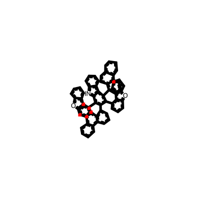 c1ccc2c(c1)ccc1c(-c3c(-c4cccc5oc6ccccc6c45)c(-c4cccc5c6ccccc6c6ccccc6c45)c(-c4cccc5oc6ccccc6c45)c4[nH]c5ccccc5c34)cccc12